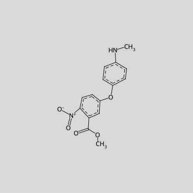 CNc1ccc(Oc2ccc([N+](=O)[O-])c(C(=O)OC)c2)cc1